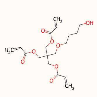 C=CC(=O)OCC(COCCCCO)(COC(=O)C=C)COC(=O)C=C